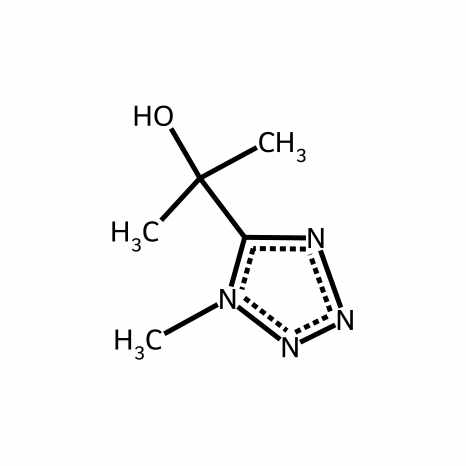 Cn1nnnc1C(C)(C)O